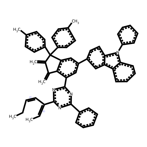 C=C1C(=C)C(c2ccc(C)cc2)(c2ccc(C)cc2)c2cc(-c3ccc4c(c3)c3ccccc3n4-c3ccccc3)cc(-c3nc(C(/C=C\CC)=C/C)nc(-c4ccccc4)n3)c21